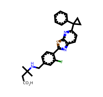 CC(C)(CC(=O)O)NCc1ccc(-c2nc3ccc(C4(c5ccccc5)CC4)nc3s2)c(F)c1